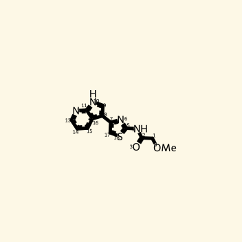 COCC(=O)Nc1nc(-c2c[nH]c3ncccc23)cs1